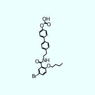 CCCCOc1ccc(Br)cc1C(=O)NCCc1ccc(-c2ccc(OC(=O)O)cc2)cc1